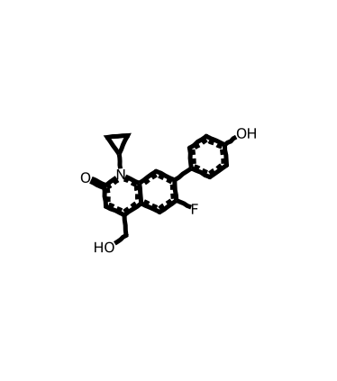 O=c1cc(CO)c2cc(F)c(-c3ccc(O)cc3)cc2n1C1CC1